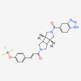 O=C(/C=C/c1ccc(OC(F)(F)F)cc1)N1C[C@@H]2[C@H](C1)[C@H]1CN(C(=O)C3=CCc4[nH]nnc4C3)C[C@@H]21